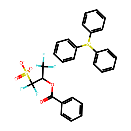 O=C(OC(C(F)(F)F)C(F)(F)S(=O)(=O)[O-])c1ccccc1.c1ccc([S+](c2ccccc2)c2ccccc2)cc1